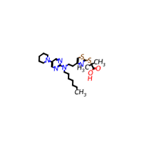 CCCCCCCN(CCc1csc(SC(C)(C)C(=O)O)n1)c1ncc(N2CCCCC2)cn1